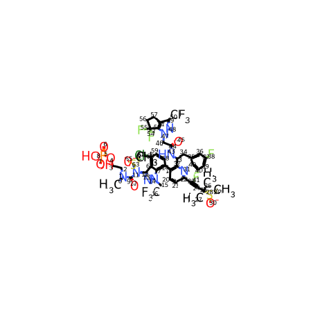 CN(CCOP(=O)(O)O)C(=O)N(c1nn(CC(F)(F)F)c2c(-c3ccc(C#CC(C)(C)[S+](C)[O-])nc3C(Cc3cc(F)cc(F)c3)NC(=O)Cn3nc(C(F)(F)F)c4c3C(F)(F)CC4)ccc(Cl)c12)[S+](C)[O-]